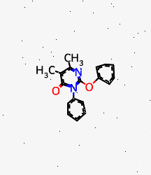 Cc1nc(Oc2ccccc2)n(-c2ccccc2)c(=O)c1C